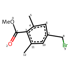 COC(=O)c1c(C)cc(CBr)cc1C